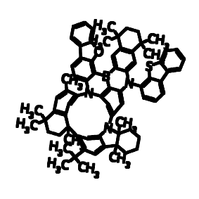 Cc1cc2c3cc1N1c4cc(cc5c4B(c4cc6c(cc4N5c4cccc5c4sc4ccccc45)C(C)(C)CCC6(C)C)c4c1ccc1c4oc4ccccc41)N1c4cc(c(C(C)(C)C)cc4C4(C)CCCCC14C)C3(C)CCC2(C)C